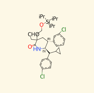 CC(C)[Si](OCCC1(CC=O)C[C@H](c2cccc(Cl)c2)[C@@H](C(c2ccc(Cl)cc2)C2CC2)NC1=O)(C(C)C)C(C)C